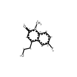 Cn1c(=O)cc(CCCl)c2cc(F)ccc21